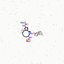 COC(=O)Nc1ccc2c(c1)C(=O)C(F)(F)CCCCC(NC(=O)OC(C)(C)C)c1nc-2cn1COCC[Si](C)(C)C